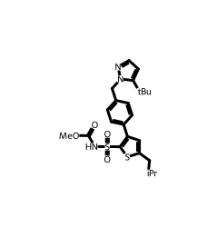 COC(=O)NS(=O)(=O)c1sc(CC(C)C)cc1-c1ccc(Cn2nccc2C(C)(C)C)cc1